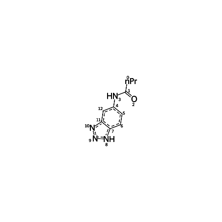 CCCC(=O)Nc1ccc2[nH]nnc2c1